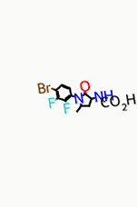 CC1CC(NC(=O)O)C(=O)N1c1ccc(Br)c(F)c1F